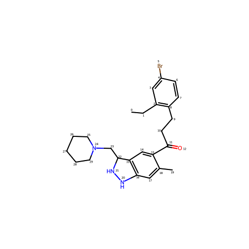 CCc1cc(Br)ccc1CCC(=O)c1cc2c(cc1C)NNC2CN1CCCCC1